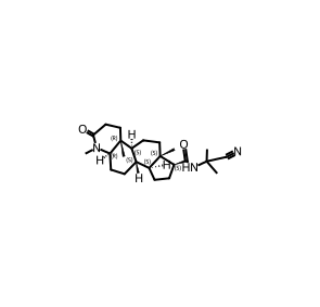 CN1C(=O)CC[C@]2(C)[C@H]3CC[C@]4(C)[C@@H](C(=O)NC(C)(C)C#N)CC[C@H]4[C@@H]3CC[C@@H]12